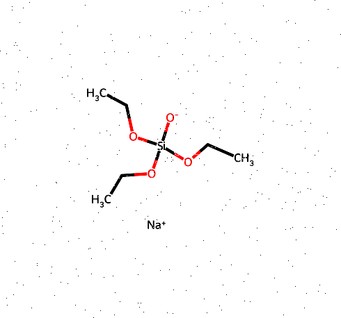 CCO[Si]([O-])(OCC)OCC.[Na+]